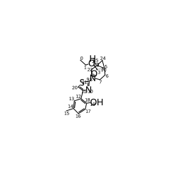 CCOC(=O)[C@]12CCN(c3nc(-c4cc(C)ccc4O)cs3)C[C@H]1C2